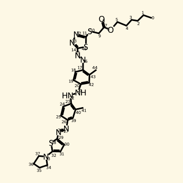 CCCCCCOC(=O)CSc1nnc(/N=N/c2ccc(NNc3ccc(/N=N/c4ccc(N5CCCC5)s4)cc3C)cc2C)s1